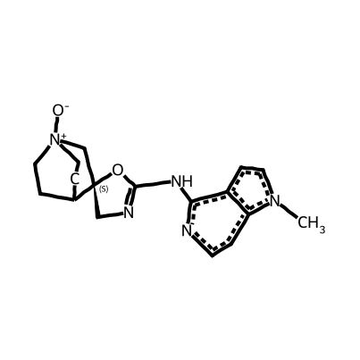 Cn1ccc2c(NC3=NC[C@@]4(C[N+]5([O-])CCC4CC5)O3)nccc21